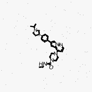 CCNC(=O)N1CCN(c2ccnn3cc(-c4ccc([C@@H]5CCN(C(C)C)C5)cc4)cc23)CC1